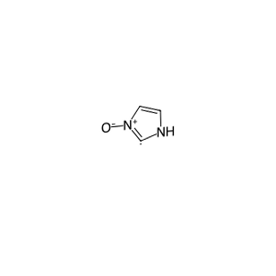 [O-][n+]1[c][nH]cc1